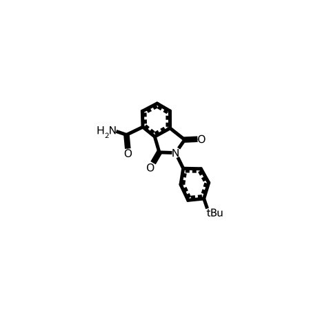 CC(C)(C)c1ccc(N2C(=O)c3cccc(C(N)=O)c3C2=O)cc1